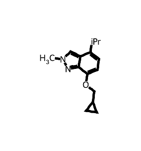 CC(C)c1ccc(OCC2CC2)c2nn(C)cc12